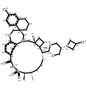 C[C@@H]1[C@@H](C)CCC[C@@H]([C@H]2OC[C@@H](N3CC(Cl)C3)CO2)[C@@H]2CC[C@H]2CN2C[C@@]3(CCCc4cc(Cl)ccc43)COc3ccc(cc32)C(=O)NS1(=O)=O